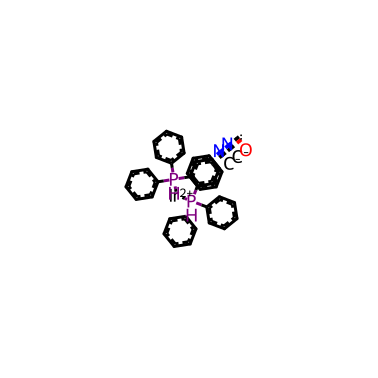 [C-]#N.[C-]#N.[C]=O.c1ccc([PH]([Ir+2][PH](c2ccccc2)(c2ccccc2)c2ccccc2)(c2ccccc2)c2ccccc2)cc1